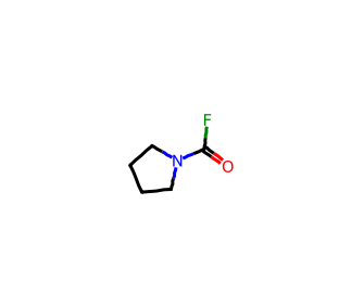 O=C(F)N1CCCC1